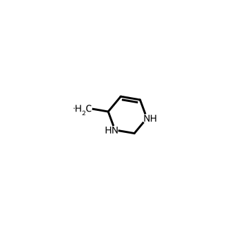 [CH2]C1C=CNCN1